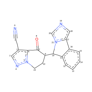 N#Cc1cnn2c1C(=O)C(C1c3ccccc3-c3cncn31)CC2